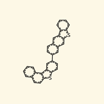 c1ccc2c(c1)ccc1sc3ccc(-c4ccc5cc6c(cc5c4)sc4ccccc46)cc3c12